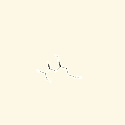 CCCCCCCCCC(=O)OC(=O)C(N)C(C)C.[NaH]